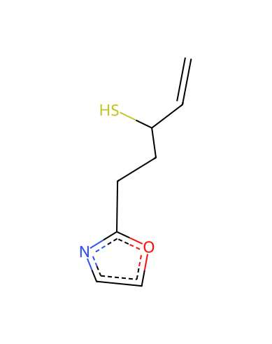 C=CC(S)CCc1ncco1